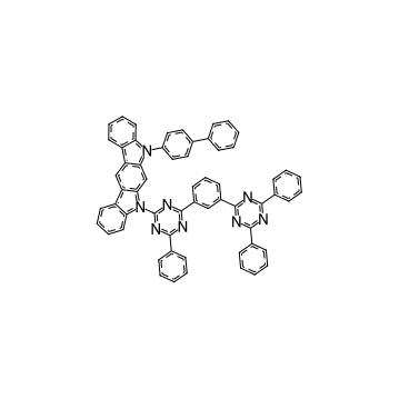 c1ccc(-c2ccc(-n3c4ccccc4c4cc5c6ccccc6n(-c6nc(-c7ccccc7)nc(-c7cccc(-c8nc(-c9ccccc9)nc(-c9ccccc9)n8)c7)n6)c5cc43)cc2)cc1